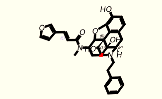 CN(C(=O)/C=C/c1ccoc1)C1CC[C@@]2(O)[C@H]3Cc4ccc(O)c5c4[C@@]2(C(O)CN3CCc2ccccc2)C1O5